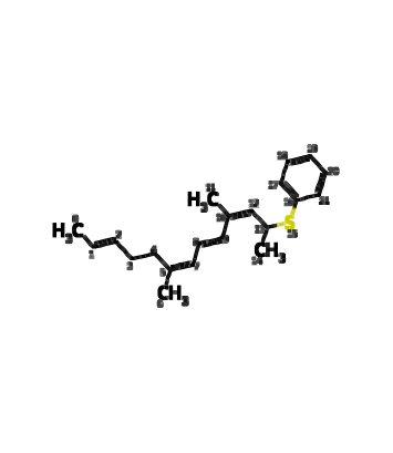 CC=CCCC(C)=CC=CC(C)=CC(C)Sc1ccccc1